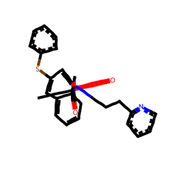 O=C1CC2=CC(Sc3ccccc3)=CC3=CC=CCC32C(=O)N1CCc1ccccn1